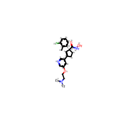 CCN(CC)CCOc1cncc(C2=C[C@](C(=O)NO)(c3cccc(F)c3C)CC2)c1